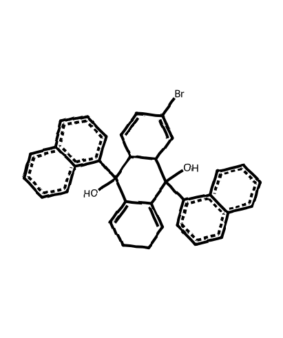 OC1(c2cccc3ccccc23)C2=CCCC=C2C(O)(c2cccc3ccccc23)C2C=C(Br)C=CC21